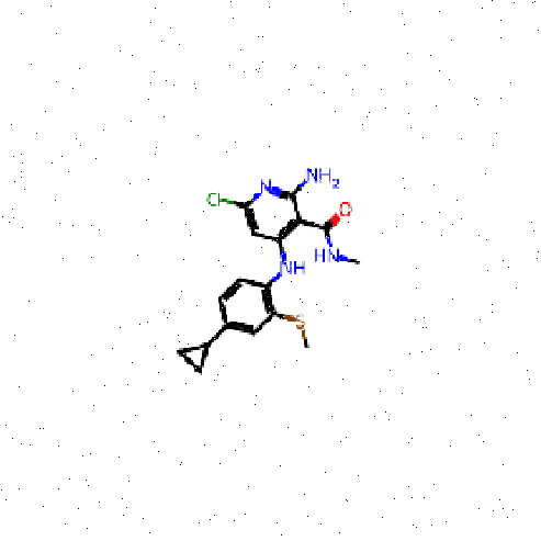 CNC(=O)c1c(Nc2ccc(C3CC3)cc2SC)cc(Cl)nc1N